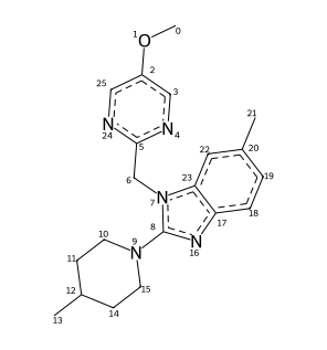 COc1cnc(Cn2c(N3CCC(C)CC3)nc3ccc(C)cc32)nc1